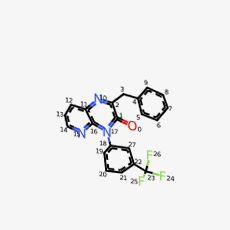 O=c1c(Cc2ccccc2)nc2cccnc2n1-c1cccc(C(F)(F)F)c1